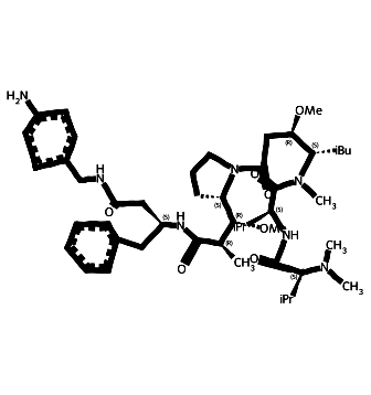 CCC(C)[C@@H]([C@@H](CC(=O)N1CCC[C@H]1[C@H](OC)[C@@H](C)C(=O)N[C@H](CC(=O)NCc1ccc(N)cc1)Cc1ccccc1)OC)N(C)C(=O)[C@@H](NC(=O)[C@H](C(C)C)N(C)C)C(C)C